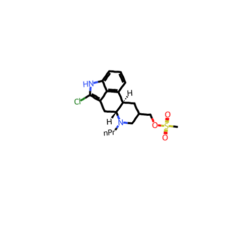 CCCN1CC(COS(C)(=O)=O)C[C@@H]2c3cccc4[nH]c(Cl)c(c34)C[C@H]21